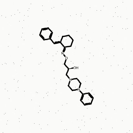 O[C@H](CO/N=C1\CCCC\C1=C/c1ccccc1)CN1CCN(c2ccccc2)CC1